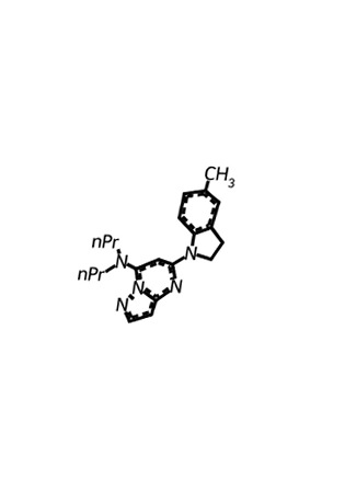 CCCN(CCC)c1cc(N2CCc3cc(C)ccc32)nc2ccnn12